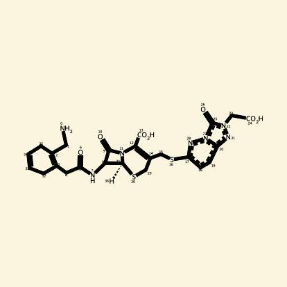 NCC1=C(CC(=O)NC2C(=O)N3C(C(=O)O)=C(CSc4ccc5nn(CC(=O)O)c(=O)n5n4)CS[C@@H]23)CC=CC1